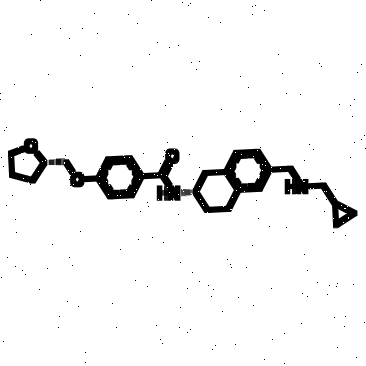 O=C(N[C@H]1CCc2cc(CNCC3CC3)ccc2C1)c1ccc(OC[C@@H]2CCCO2)cc1